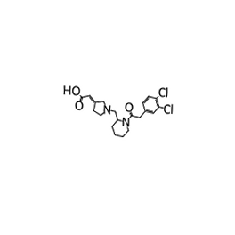 O=C(O)C=C1CCN(CC2CCCCN2C(=O)Cc2ccc(Cl)c(Cl)c2)C1